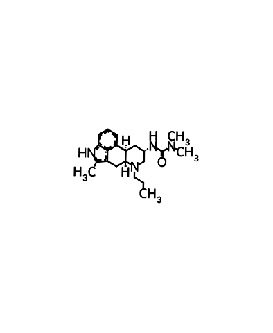 CCCN1C[C@@H](NC(=O)N(C)C)C[C@@H]2c3cccc4[nH]c(C)c(c34)C[C@H]21